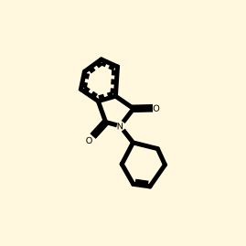 O=C1c2ccccc2C(=O)N1C1CC=CCC1